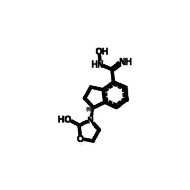 N=C(NO)c1cccc2c1CC[C@@H]2N1CCOC1O